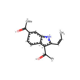 C/C=C\c1[nH]c2cc(C(=O)OC)ccc2c1C(=O)C(C)C